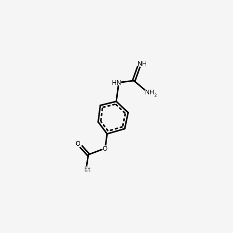 CCC(=O)Oc1ccc(NC(=N)N)cc1